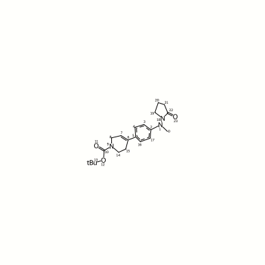 CN(c1ccc(C2=CCN(C(=O)OC(C)(C)C)CC2)cc1)N1CCCC1=O